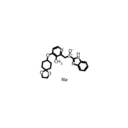 Cc1c(OC2CCC3(CC2)OCCO3)ccnc1C[S+]([O-])c1nc2ccccc2[nH]1.[Na]